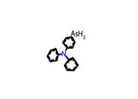 [AsH3].c1ccc(N(c2ccccc2)c2ccccc2)cc1